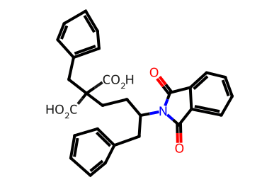 O=C1c2ccccc2C(=O)N1C(CCC(Cc1ccccc1)(C(=O)O)C(=O)O)Cc1ccccc1